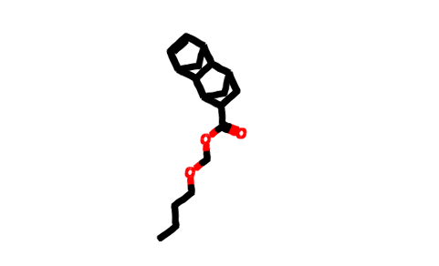 CCCCOCOC(=O)C1CC2CC1C1C3C=CC(C3)C21